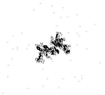 CC[C@H](C)[C@H](NC(=O)[C@H](CCSC)NC(=O)[C@H](CCCCN)NC(=O)[C@H](CCC(N)=O)NC(=O)[C@@H](NC(=O)[C@@H](NC(=O)[C@H](Cc1ccc(O)cc1)NC(=O)[C@H](CC(N)=O)NC(=O)[C@H](C)NC(=O)[C@H](Cc1ccc(O)cc1)NC(=O)[C@@H](N)CCC(N)=O)C(C)C)C(C)C)C(=O)N[C@@H](CC(=O)O)C(=O)N[C@H](C(=O)O)C(C)C